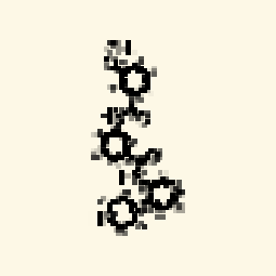 COc1cccc(C(=O)Nc2cccc(C(=O)Nc3cnccc3N3CCNCC3)n2)c1